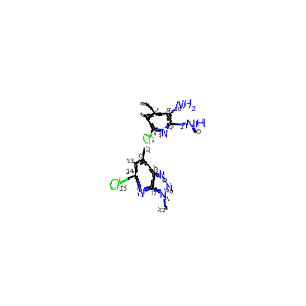 CNc1nc(Cl)cc(C)c1N.Cc1cc(Cl)nc2c1nnn2C